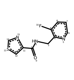 O=C(NCc1ncccc1F)c1cscn1